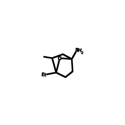 BC12CCC(CC)(O1)C(C)C2